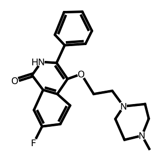 CN1CCN(CCOc2c(-c3ccccc3)[nH]c(=O)c3cc(F)ccc23)CC1